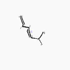 [CH]=C/C=C/C(C)C